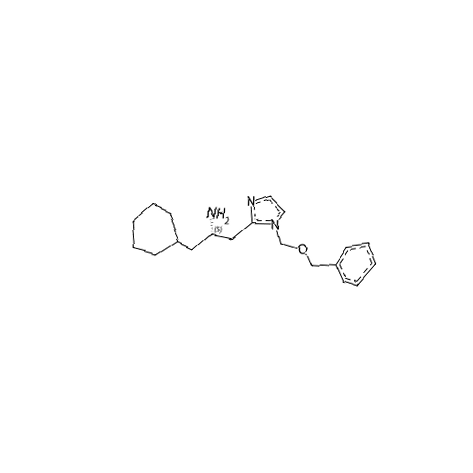 N[C@H](Cc1nccn1COCc1ccccc1)CC1CCCCC1